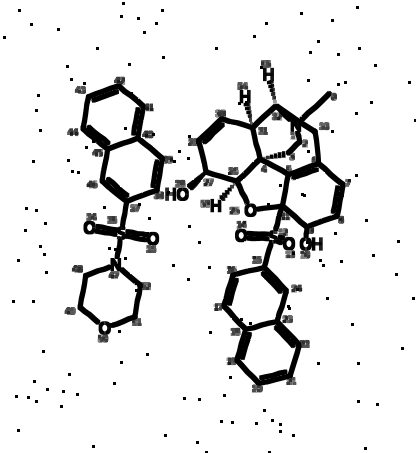 CN1CC[C@]23C4=C5C=CC(O)C4(S(=O)(=O)c4ccc6ccccc6c4)O[C@H]2[C@@H](O)C=C[C@H]3[C@H]1C5.O=S(=O)(c1ccc2ccccc2c1)N1CCOCC1